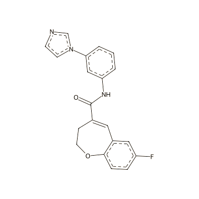 O=C(Nc1cccc(-n2ccnc2)c1)C1=Cc2cc(F)ccc2OCC1